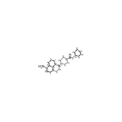 Nc1ncc2c3c(cccc13)N(C1CCC(NCc3ccccc3)CC1)CC2